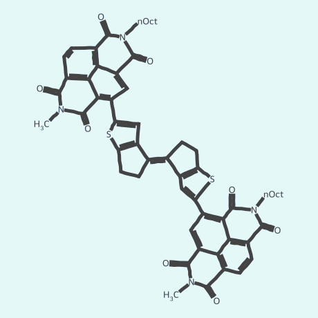 CCCCCCCCN1C(=O)c2ccc3c4c(c(-c5cc6c(s5)CC/C6=C5/CCc6sc(-c7cc8c9c(ccc%10c9c7C(=O)N(CCCCCCCC)C%10=O)C(=O)N(C)C8=O)cc65)cc(c24)C1=O)C(=O)N(C)C3=O